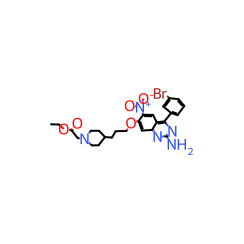 CCOC(=O)CN1CCC(CCCOc2cc3nc(N)nc(-c4cccc(Br)c4)c3cc2[N+](=O)[O-])CC1